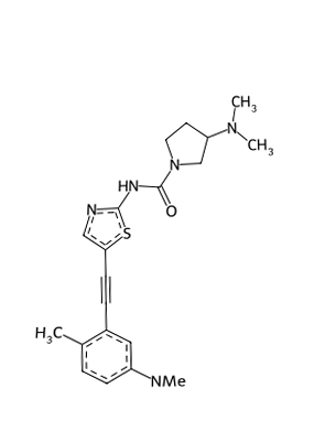 CNc1ccc(C)c(C#Cc2cnc(NC(=O)N3CCC(N(C)C)C3)s2)c1